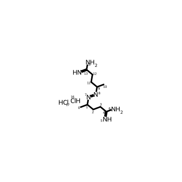 CC(CCC(=N)N)N=NC(C)CCC(=N)N.Cl.Cl